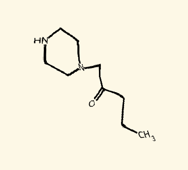 CCCC(=O)CN1CCNCC1